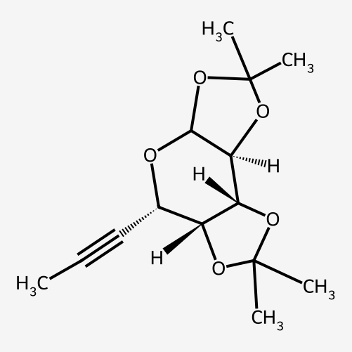 CC#C[C@@H]1OC2OC(C)(C)O[C@H]2[C@@H]2OC(C)(C)O[C@@H]21